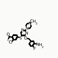 CN1CCN(c2ncc(Sc3ccc(C(=O)I)c(Cl)c3)c(OCc3ccc(F)c(N)c3)n2)CC1